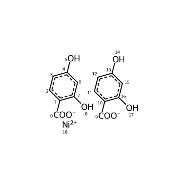 O=C([O-])c1ccc(O)cc1O.O=C([O-])c1ccc(O)cc1O.[Ni+2]